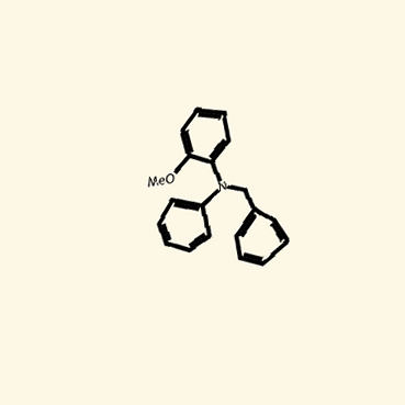 COc1ccccc1N(Cc1ccccc1)c1ccccc1